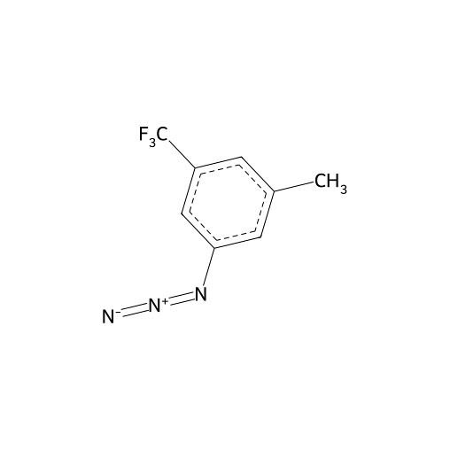 Cc1cc(N=[N+]=[N-])cc(C(F)(F)F)c1